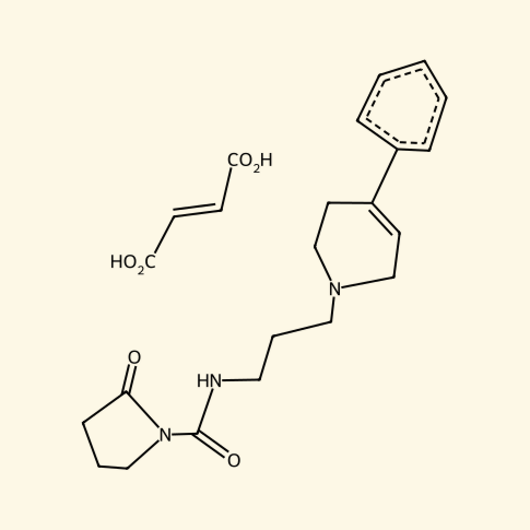 O=C(O)C=CC(=O)O.O=C1CCCN1C(=O)NCCCN1CC=C(c2ccccc2)CC1